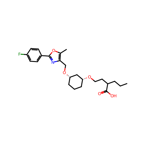 CCCC(CCO[C@@H]1CCC[C@H](OCc2nc(-c3ccc(F)cc3)oc2C)C1)C(=O)O